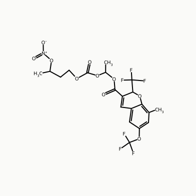 Cc1cc(OC(F)(F)F)cc2c1OC(C(F)(F)F)C(C(=O)OC(C)OC(=O)OCCC(C)O[N+](=O)[O-])=C2